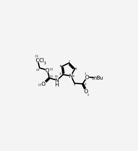 CCCCOC(=O)Cn1cccc1NC(=O)OCC(Cl)(Cl)Cl